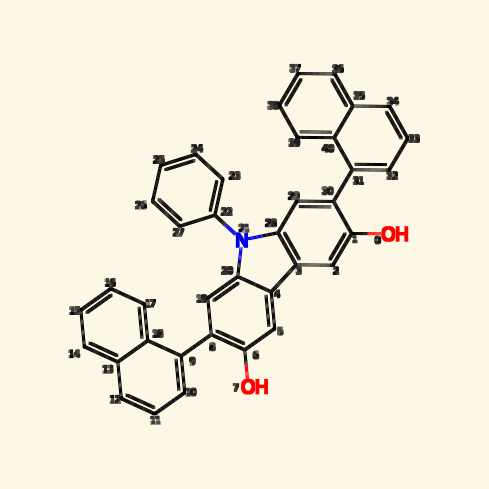 Oc1cc2c3cc(O)c(-c4cccc5ccccc45)cc3n(-c3ccccc3)c2cc1-c1cccc2ccccc12